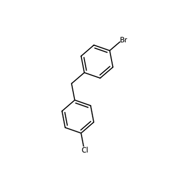 Clc1ccc(Cc2ccc(Br)cc2)cc1